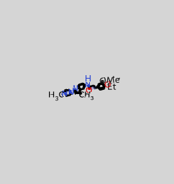 CCOc1ccc(/C=C/C(=O)Nc2ccc3nc(N4CCN(C)CC4)cc(C)c3c2)cc1OC